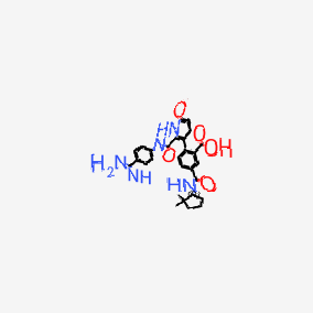 COc1ccc(-c2ccc(C(=O)N[C@@H]3CCCC3(C)C)cc2C(=O)O)c(C(=O)Nc2ccc(C(=N)N)cc2)n1